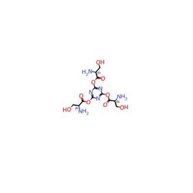 N[C@@H](CO)C(=O)Oc1nc(OC(=O)[C@@H](N)CO)nc(OC(=O)[C@@H](N)CO)n1